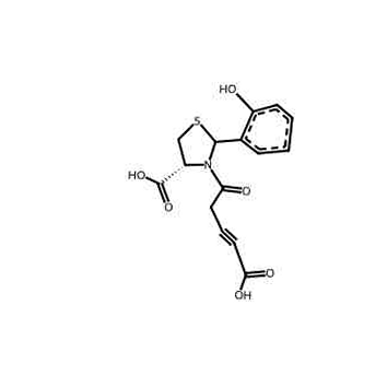 O=C(O)C#CCC(=O)N1C(c2ccccc2O)SC[C@H]1C(=O)O